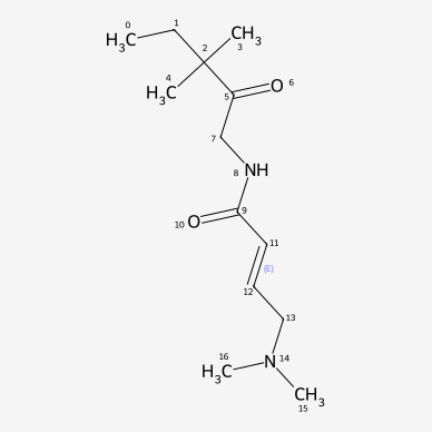 CCC(C)(C)C(=O)CNC(=O)/C=C/CN(C)C